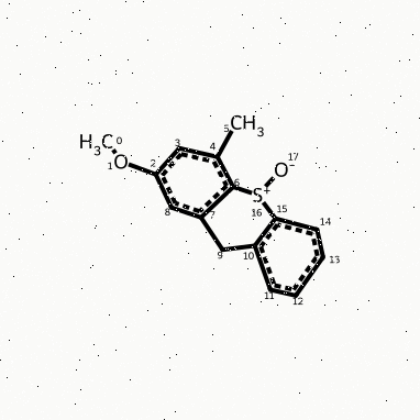 COc1cc(C)c2c(c1)Cc1ccccc1[S+]2[O-]